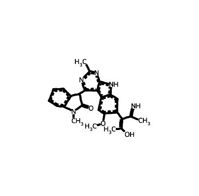 COc1cc2c(cc1/C(C(C)=N)=C(\C)O)[nH]c1nc(C)nc(C3C(=O)N(C)c4ccccc43)c12